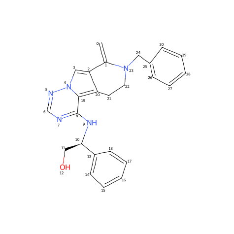 C=C1c2cn3ncnc(N[C@H](CO)c4ccccc4)c3c2CCN1Cc1ccccc1